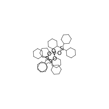 [O]=[V]([O][Si](C1CCCCC1)(C1CCCCC1)C1CCCCC1)([O][Si](C1CCCCC1)(C1CCCCC1)C1CCCCC1)[O][Si](C1CCCCC1)(C1CCCCC1)C1CCCCC1